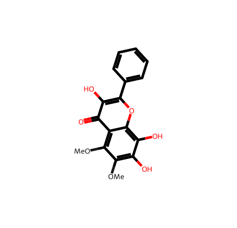 COc1c(O)c(O)c2oc(-c3ccccc3)c(O)c(=O)c2c1OC